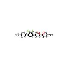 CCCC1CCC(c2ccc(C3CCC(C4CCC(CCC)CO4)OC3)c(F)c2F)CC1